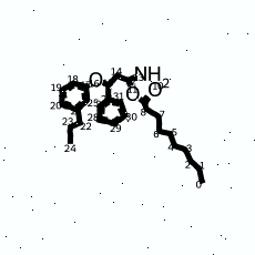 CCCCCCCCCC(=O)OC(N)CC(Oc1cccc(CCC)c1)c1ccccc1